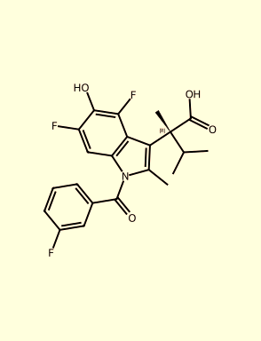 Cc1c([C@](C)(C(=O)O)C(C)C)c2c(F)c(O)c(F)cc2n1C(=O)c1cccc(F)c1